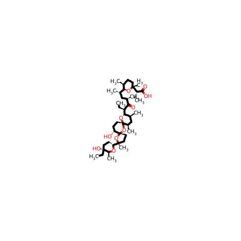 CC[C@@H](C(=O)[C@@H](C)C[C@H](C)[C@@H]1O[C@@](C)([C@@H](CC)C(=O)O)CC[C@@H]1C)[C@H]1O[C@]2(CC[C@@H](O)[C@]3(CC[C@@](C)([C@H]4CC[C@](O)(CC)[C@H](C)O4)O3)O2)[C@H](C)C[C@@H]1C